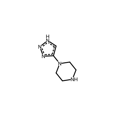 c1[nH]nnc1N1CCNCC1